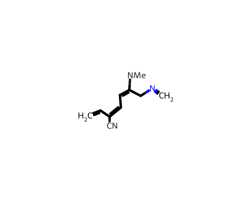 C=C/C(C#N)=C\C=C(/CN=C)NC